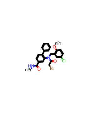 CCCNC(=O)c1ccc(-c2ccccc2)c(N(Cc2cc(Cl)ccc2OCCC)C(=O)CBr)c1